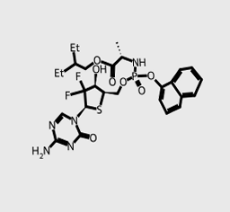 CCC(CC)COC(=O)[C@H](C)NP(=O)(OC[C@H]1S[C@@H](n2cnc(N)nc2=O)C(F)(F)[C@H]1O)Oc1cccc2ccccc12